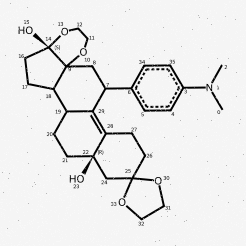 CN(C)c1ccc(C2CC34OCCO[C@@]3(O)CCC4C3CC[C@@]4(O)CC5(CCC4=C23)OCCO5)cc1